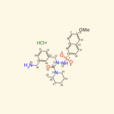 COc1ccc2cc(S(=O)(=O)NN(Cc3cccc(CN)c3)C(=O)N3CCCCC3C)ccc2c1.Cl